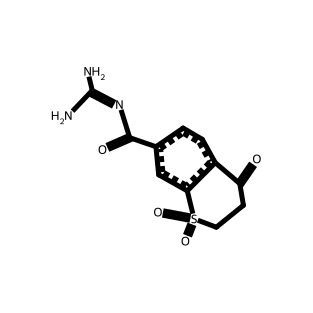 NC(N)=NC(=O)c1ccc2c(c1)S(=O)(=O)CCC2=O